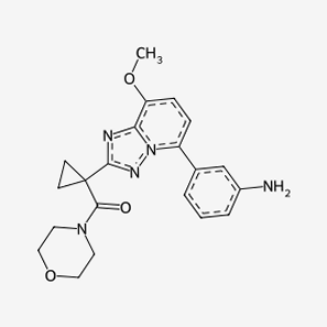 COc1ccc(-c2cccc(N)c2)n2nc(C3(C(=O)N4CCOCC4)CC3)nc12